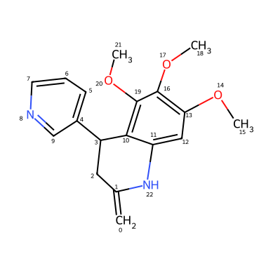 C=C1CC(c2cccnc2)c2c(cc(OC)c(OC)c2OC)N1